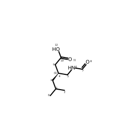 CC(C)C[C@H](CNC=O)CC(=O)O